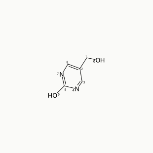 OCc1cnc(O)nc1